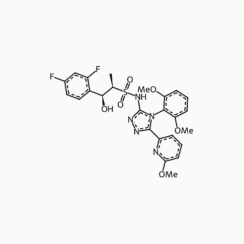 COc1cccc(-c2nnc(NS(=O)(=O)[C@H](C)[C@@H](O)c3ccc(F)cc3F)n2-c2c(OC)cccc2OC)n1